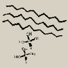 CCCCCCCCCCCC.CCCCCCCCCCCC.CCCCCCCCCCCC.OP(O)(O)=S.OP(O)(O)=S